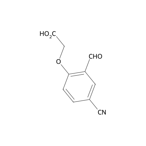 N#Cc1ccc(OCC(=O)O)c(C=O)c1